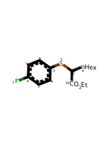 CCCCCCC(Sc1ccc(F)cc1)C(=O)OCC